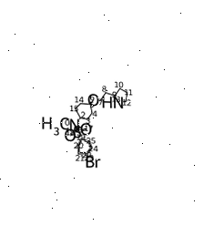 CN(C1CCC(OCCC2CCCN2)CC1)S(=O)(=O)c1ccc(Br)cc1